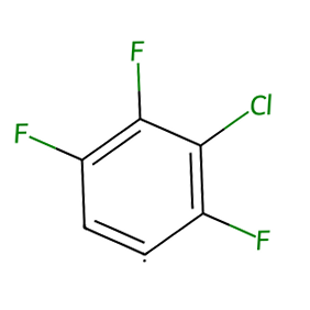 Fc1[c]cc(F)c(F)c1Cl